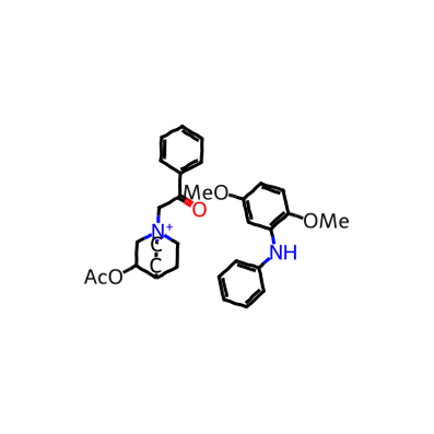 CC(=O)OC1C[N+]2(CC(=O)c3ccccc3)CCC1CC2.COc1ccc(OC)c(Nc2ccccc2)c1